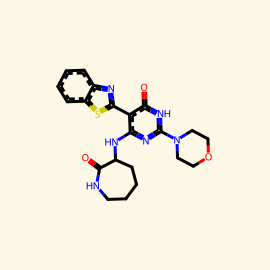 O=C1NCCCCC1Nc1nc(N2CCOCC2)[nH]c(=O)c1-c1nc2ccccc2s1